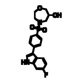 O=S(=O)(c1ccc(-c2c[nH]c3cc(F)ccc23)cc1)N1CCOCC(O)C1